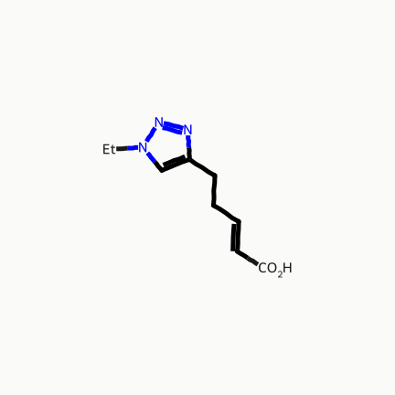 CCn1cc(CCC=CC(=O)O)nn1